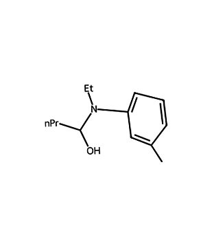 CCCC(O)N(CC)c1cccc(C)c1